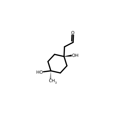 C[C@]1(O)CC[C@](O)(CC=O)CC1